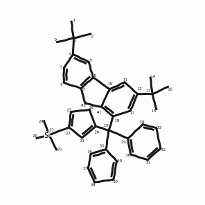 CC(C)(C)c1ccc2c(c1)-c1cc(C(C)(C)C)cc(C(C3=CC([Si](C)(C)C)=CC3)(c3ccccc3)c3ccccc3)c1C2